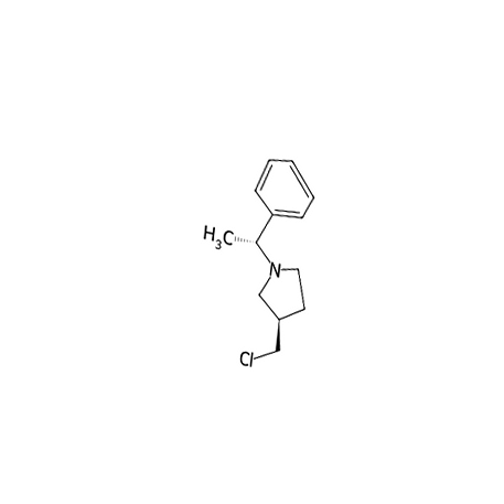 C[C@H](c1ccccc1)N1CC[C@@H](CCl)C1